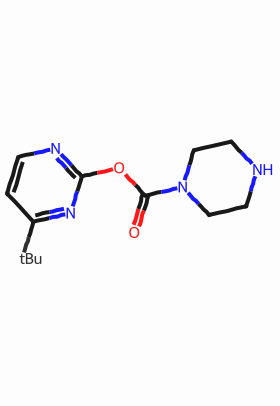 CC(C)(C)c1ccnc(OC(=O)N2CCNCC2)n1